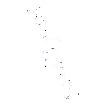 CN(C)c1ccc(-c2cc3c(cc(-c4ccc(-c5cc6sc(-c7ccc(N(C)C)cc7)cc6n5C)c5nsnc45)n3C)s2)cc1